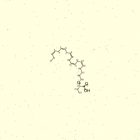 CC/C=C\C/C=C\C/C=C\C/C=C\C/C=C\CCCCO[C@H](CC)C(=O)O